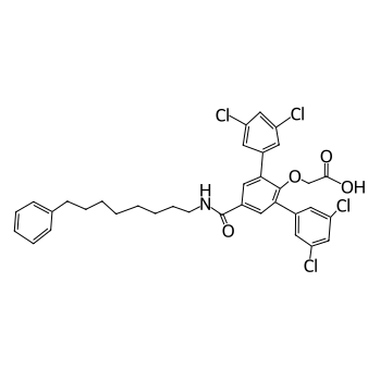 O=C(O)COc1c(-c2cc(Cl)cc(Cl)c2)cc(C(=O)NCCCCCCCCc2ccccc2)cc1-c1cc(Cl)cc(Cl)c1